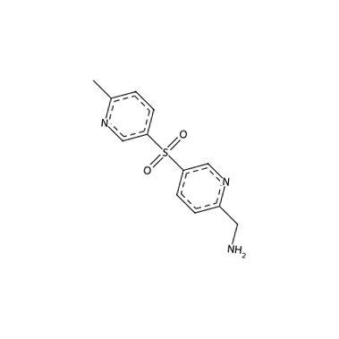 Cc1ccc(S(=O)(=O)c2ccc(CN)nc2)cn1